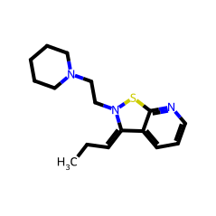 CCC=C1c2cccnc2SN1CCN1CCCCC1